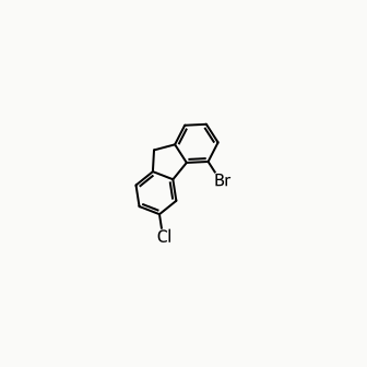 Clc1ccc2c(c1)-c1c(Br)cccc1C2